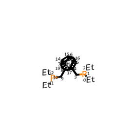 CCP(CC)C[C]12[CH]3[CH]4[CH]5[C]1(CP(CC)CC)[Fe]43521678[CH]2[CH]1[CH]6[CH]7[CH]28